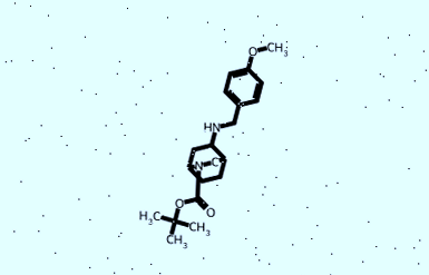 COc1ccc(CNC2CC3CCC2CN3C(=O)OC(C)(C)C)cc1